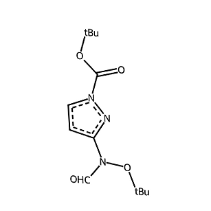 CC(C)(C)OC(=O)n1ccc(N(C=O)OC(C)(C)C)n1